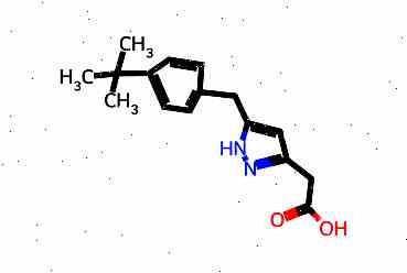 CC(C)(C)c1ccc(Cc2cc(CC(=O)O)n[nH]2)cc1